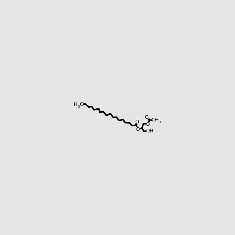 CCCCCCCCCCCCCCCCCC(=O)OC(CO)COC(C)=O